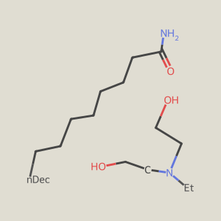 CCCCCCCCCCCCCCCCCC(N)=O.CCN(CCO)CCO